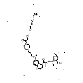 CN(CCCN1CCN(C(=O)COCCOCCOCCN)CC1)c1ccc2nccc(C(=O)NCC(=O)N3CC(F)(F)C[C@H]3C#N)c2c1